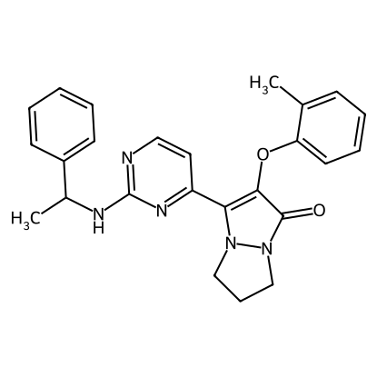 Cc1ccccc1Oc1c(-c2ccnc(NC(C)c3ccccc3)n2)n2n(c1=O)CCC2